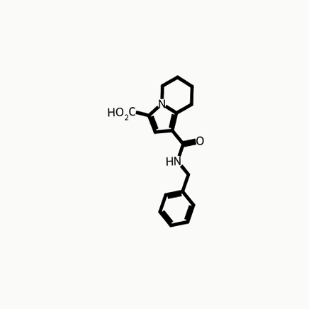 O=C(NCc1ccccc1)c1cc(C(=O)O)n2c1CCCC2